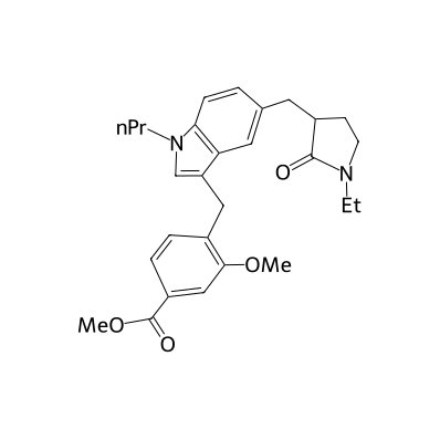 CCCn1cc(Cc2ccc(C(=O)OC)cc2OC)c2cc(CC3CCN(CC)C3=O)ccc21